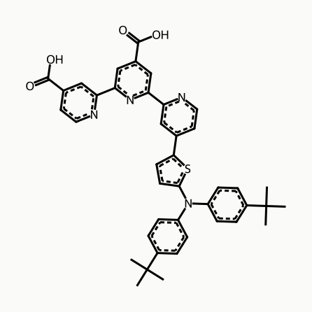 CC(C)(C)c1ccc(N(c2ccc(C(C)(C)C)cc2)c2ccc(-c3ccnc(-c4cc(C(=O)O)cc(-c5cc(C(=O)O)ccn5)n4)c3)s2)cc1